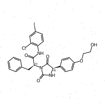 O=C(Nc1ccc(I)cc1Cl)[C@H](Cc1ccccc1)N1C(=O)N[C@H](c2ccc(OCCO)cc2)C1=O